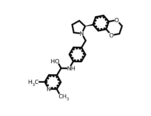 Cc1cc(C(O)Nc2ccc(CN3CCC[C@H]3c3ccc4c(c3)OCCO4)cc2)cc(C)n1